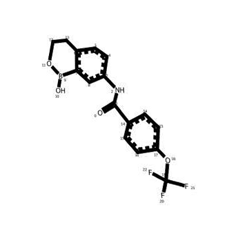 O=C(Nc1ccc2c(c1)B(O)OCC2)c1ccc(OC(F)(F)F)cc1